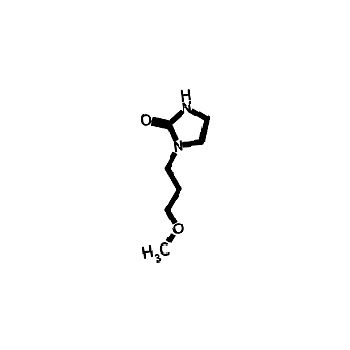 COCCCN1CCNC1=O